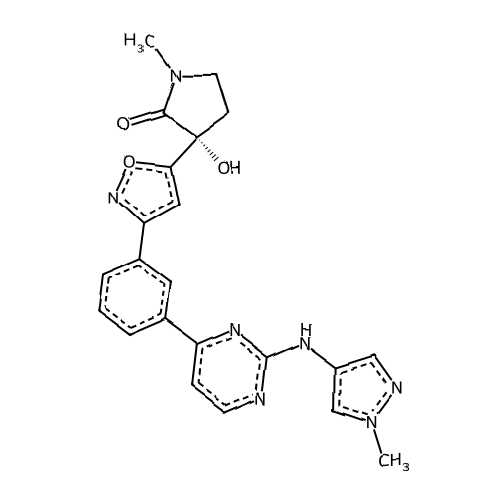 CN1CC[C@@](O)(c2cc(-c3cccc(-c4ccnc(Nc5cnn(C)c5)n4)c3)no2)C1=O